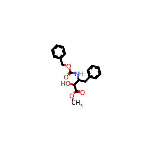 COC(=O)C(O)C(Cc1ccccc1)NC(=O)OCc1ccccc1